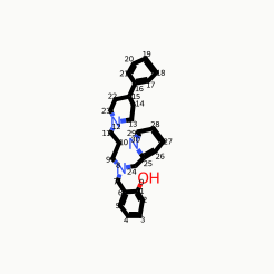 Oc1ccccc1CN(CCCN1CCC(c2ccccc2)CC1)Cc1ccccn1